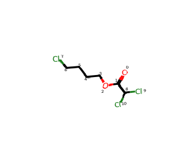 O=C(OCCCCCl)C(Cl)Cl